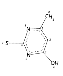 Cc1cc(O)nc([S])n1